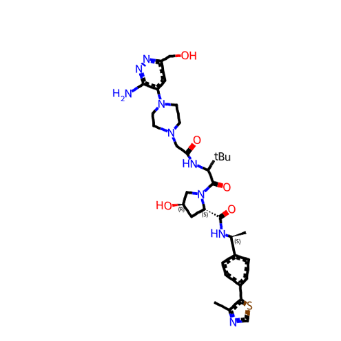 Cc1ncsc1-c1ccc([C@H](C)NC(=O)[C@@H]2C[C@@H](O)CN2C(=O)C(NC(=O)CN2CCN(c3cc(CO)nnc3N)CC2)C(C)(C)C)cc1